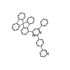 c1ccc(-c2cc(-c3cccc4c3-c3ccccc3C43c4ccccc4-c4ccccc43)nc(-c3ccc(-c4cccnc4)cc3)n2)cc1